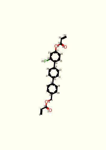 C=CC(=O)OCc1ccc(-c2ccc(-c3ccc(OC(=O)C=C)cc3F)cc2)cc1